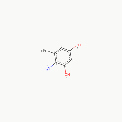 CCCc1cc(O)cc(O)c1N